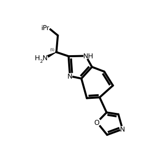 CC(C)C[C@H](N)c1nc2cc(-c3cnco3)ccc2[nH]1